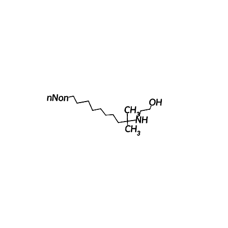 CCCCCCCCCCCCCCCCCC(C)(C)NCCO